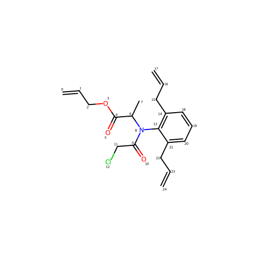 C=CCOC(=O)C(C)N(C(=O)CCl)c1c(CC=C)cccc1CC=C